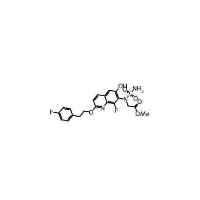 COC(=O)CN(c1c(O)cc2ccc(OCCc3ccc(F)cc3)nc2c1F)S(N)(=O)=O